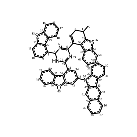 CC1CC=C(C2=NC(c3cccc4sc5ccccc5c34)NC(c3cc(-n4c5ccccc5c5cc6ccccc6cc54)cc4oc5ccccc5c34)=N2)c2c1sc1ccccc21